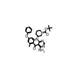 Cc1cc(Oc2ccccc2)ccc1C(=O)c1c(N)ncnc1N[C@@H]1CCCN(C(=O)OC(C)(C)C)C1